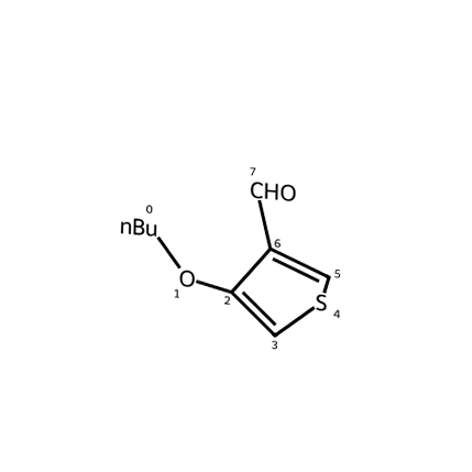 CCCCOc1cscc1C=O